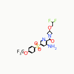 Nc1cc(S(=O)(=O)c2ccc(OC(F)(F)F)cc2)cnc1C(=O)N1CC(OCC(F)F)C1